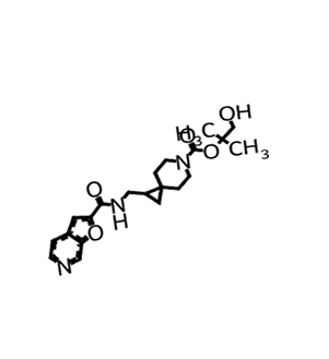 CC(C)(CO)OC(=O)N1CCC2(CC1)CC2CNC(=O)c1cc2ccncc2o1